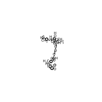 Cc1cc(S(=O)(=O)NCCOCCOCCOCC(=O)N[C@H](C(=O)N2C[C@H](O)C[C@H]2C(=O)NCc2ccc(-c3scnc3C)cc2)C(C)(C)C)ccc1Nc1ncc2ccc(=O)n(C3CCCC3)c2n1